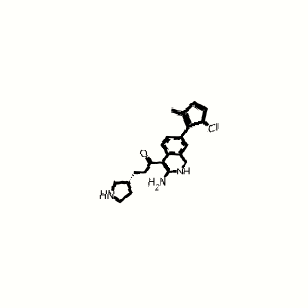 CC1=C(c2ccc3c(c2)CNC(N)=C3C(=O)CC[C@@H]2CCNC2)C(Cl)C=C1